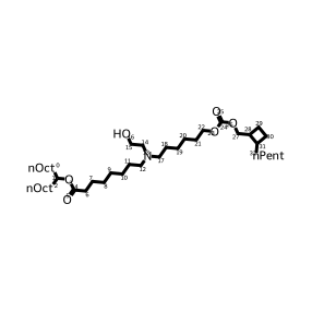 CCCCCCCCC(CCCCCCCC)OC(=O)CCCCCCCN(CCO)CCCCCCOC(=O)OCC1CCC1CCCCC